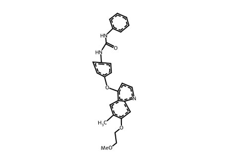 COCCOc1cc2nccc(Oc3ccc(NC(=O)Nc4ccccc4)cc3)c2cc1C